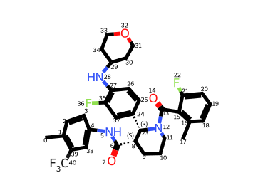 Cc1ccc(NC(=O)[C@H]2CCCN(C(=O)c3c(C)cccc3F)[C@H]2c2ccc(NC3CCOCC3)c(F)c2)cc1C(F)(F)F